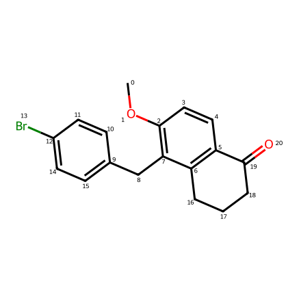 COc1ccc2c(c1Cc1ccc(Br)cc1)CCCC2=O